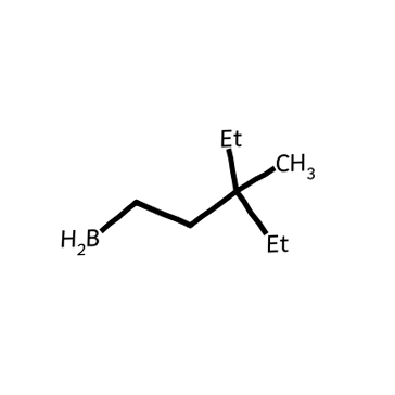 BCCC(C)(CC)CC